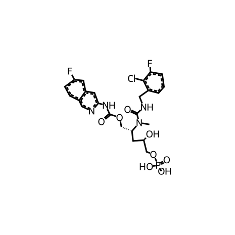 CN(C(=O)NCc1cccc(F)c1Cl)[C@@H](COC(=O)Nc1cc2cc(F)ccc2cn1)C[C@@H](O)COP(=O)(O)O